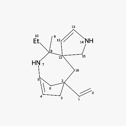 C=CC12CC=C(C1)NC(C)(CC)C1(C=CNC1)C2